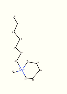 CCCCCCC[N+]1(C)CCCCC1